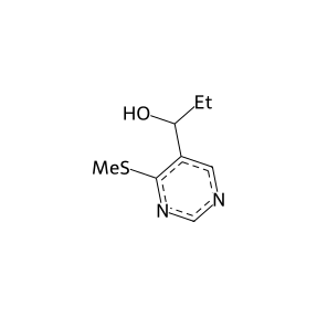 CCC(O)c1cncnc1SC